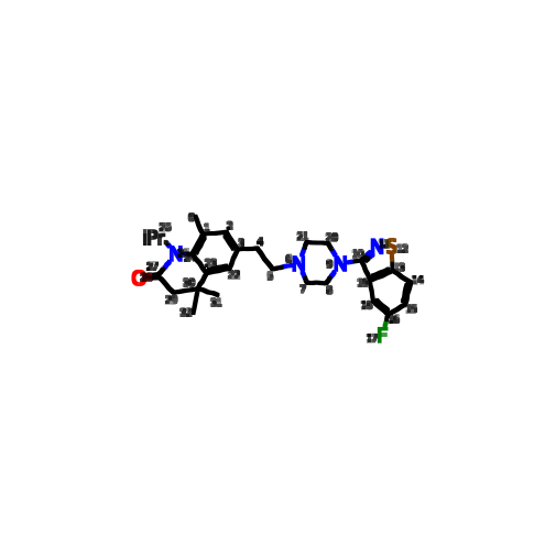 Cc1cc(CCN2CCN(c3nsc4ccc(F)cc34)CC2)cc2c1N(C(C)C)C(=O)CC2(C)C